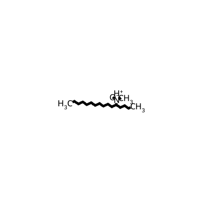 CCCCCCCCCCCC(CCCC)[NH+](C)[O-]